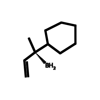 B[C@@](C)(C=C)C1CCCCC1